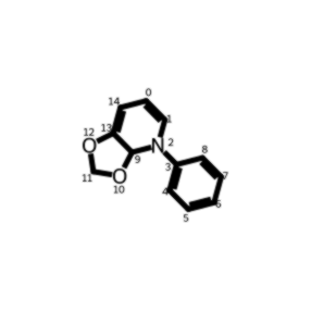 C1=CN(c2ccccc2)C2OCOC2=C1